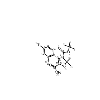 CC(C)(C)OC(=O)N1[C@@H](c2ccc(F)cc2F)[C@H](C(=O)O)OC1(C)C